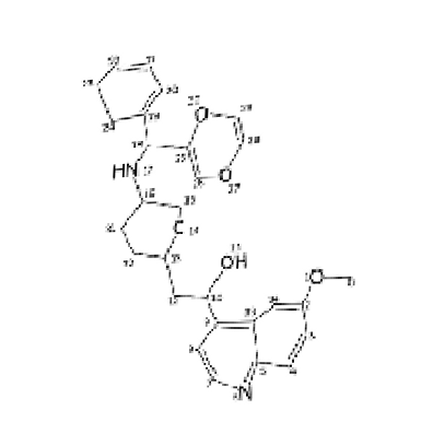 COc1ccc2nccc(C(O)CC3CCC(NC(C4=CC=CCC4)C4=COC=CO4)CC3)c2c1